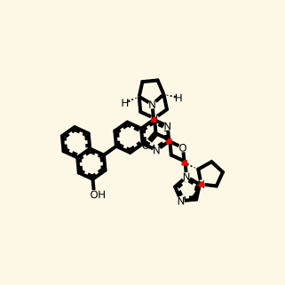 CN1CCC[C@H]1COc1nc(N2[C@@H]3CC[C@H]2CN(C(=O)CCCn2ccnc2)C3)c2ccc(-c3cc(O)cc4ccccc34)cc2n1